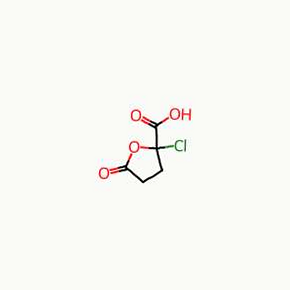 O=C1CCC(Cl)(C(=O)O)O1